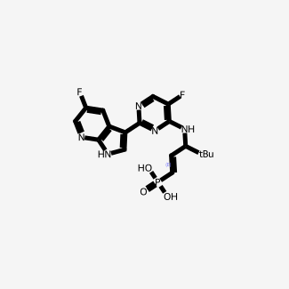 CC(C)(C)C(/C=C/P(=O)(O)O)Nc1nc(-c2c[nH]c3ncc(F)cc23)ncc1F